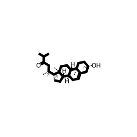 CC(C)C(=O)C[C@@H](C)[C@H]1CC[C@H]2[C@@H]3CC=C4C[C@@H](O)CC[C@]4(C)[C@H]3CC[C@]12C